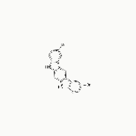 Brc1ccc2[nH]c3cc4[nH]c5ccc(Br)cc5c4cc3c2c1